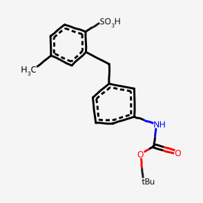 Cc1ccc(S(=O)(=O)O)c(Cc2cccc(NC(=O)OC(C)(C)C)c2)c1